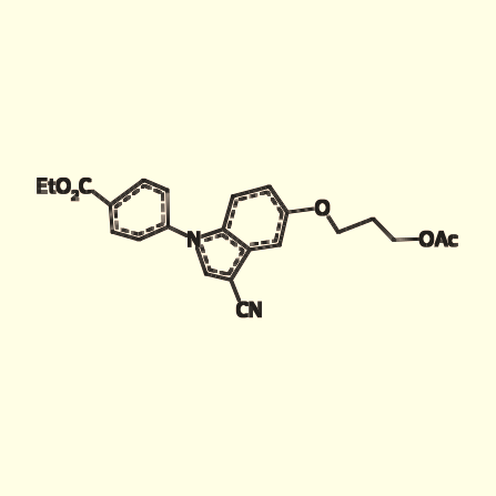 CCOC(=O)c1ccc(-n2cc(C#N)c3cc(OCCCOC(C)=O)ccc32)cc1